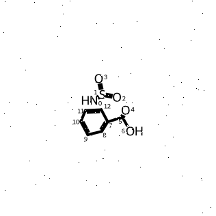 N=S(=O)=O.O=C(O)c1ccccc1